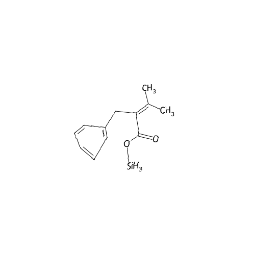 CC(C)=C(Cc1ccccc1)C(=O)O[SiH3]